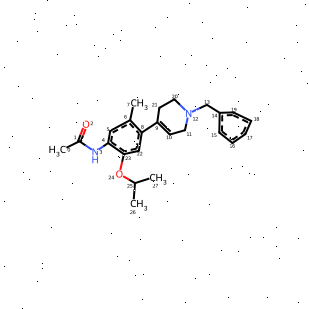 CC(=O)Nc1cc(C)c(C2=CCN(Cc3ccccc3)CC2)cc1OC(C)C